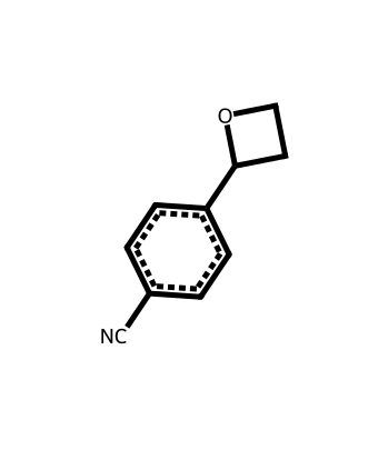 N#Cc1ccc(C2CCO2)cc1